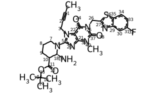 CC#CCn1c(N2CCCC(C(=O)OC(C)(C)C)[C@@H]2N)nc2c1c(=O)n(Cc1nc3cc(F)ccc3s1)c(=O)n2C